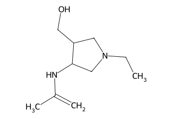 C=C(C)NC1CN(CC)CC1CO